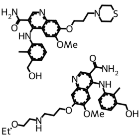 CCOCCNCCCOc1cc2ncc(C(N)=O)c(Nc3cccc(CO)c3C)c2cc1OC.COc1cc2c(Nc3cccc(CO)c3C)c(C(N)=O)cnc2cc1OCCCN1CCSCC1